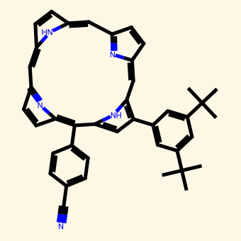 CC(C)(C)c1cc(-c2cc3[nH]c2cc2nc(cc4ccc(cc5nc(c3-c3ccc(C#N)cc3)C=C5)[nH]4)C=C2)cc(C(C)(C)C)c1